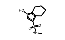 CNS(=O)(=O)c1cn(O)c2c1CCCC2